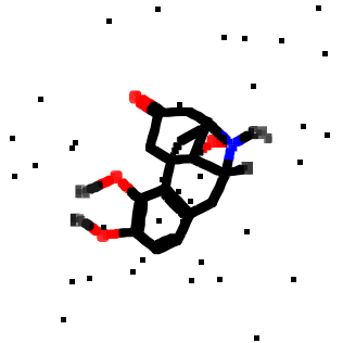 CCOc1ccc2c(c1OCC)[C@]13CCN(C)[C@H](C2)[C@]1(O)CCC(=O)C3